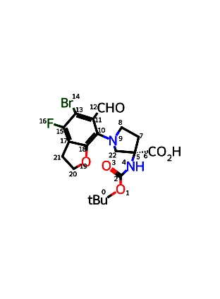 CC(C)(C)OC(=O)N[C@]1(C(=O)O)CCN(c2c(C=O)c(Br)c(F)c3c2OCC3)C1